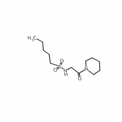 CCCCCS(=O)(=O)NCC(=O)N1CCCCC1